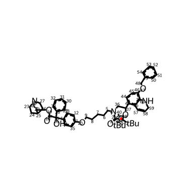 CC(C)(C)OC(=O)N(CCCCCOc1ccc(C(O)(C(=O)OC2CN3CCC2CC3)c2ccccc2)cc1)CC(O[Si](C)(C)C(C)(C)C)c1ccc(OCc2ccccc2)c2c1C=CCN2